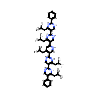 CCC(CC)Cc1cc(-c2cnc(-c3cnc(-c4ccccc4)nc3CC(CC)CC)nc2CC(CC)CC)ncc1-c1ncc(-c2ncc(-c3ccccc3)c(CC(CC)CC)n2)c(CC(CC)CC)n1